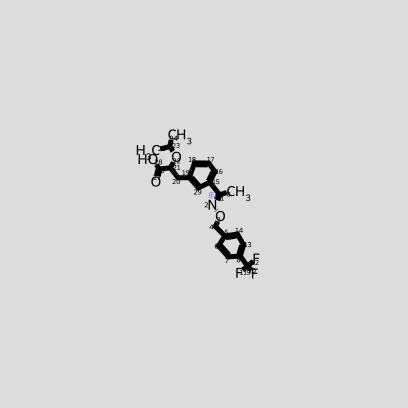 C/C(=N\OCc1ccc(C(F)(F)F)cc1)c1cccc(CC(OC(C)C)C(=O)O)c1